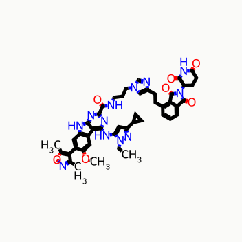 CCn1nc(C2CC2)cc1Nc1nc(C(=O)NCCCn2cnc(CCc3cccc4c3C(=O)N(C3CCC(=O)NC3=O)C4=O)c2)nc2[nH]c3cc(-c4c(C)noc4C)c(OC)cc3c12